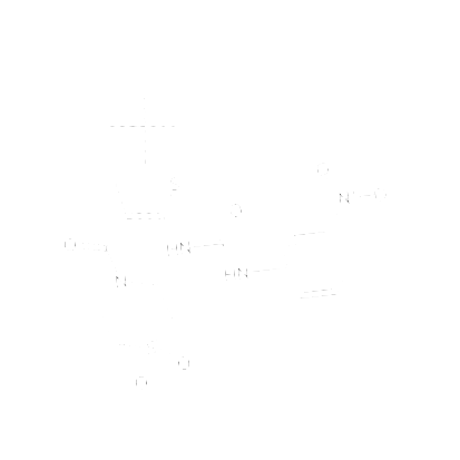 CC(C)(C)c1cc(C(=O)N2CCS(=O)(=O)CC2)c(NC(=O)Nc2cccc([N+](=O)[O-])c2)s1